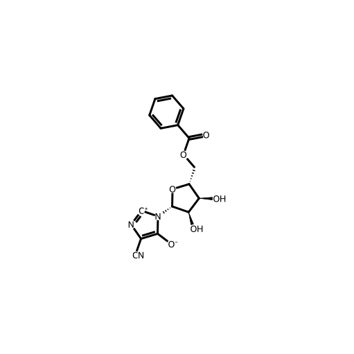 N#CC1=C([O-])N([C@@H]2O[C@H](COC(=O)c3ccccc3)[C@@H](O)[C@H]2O)[C+]=N1